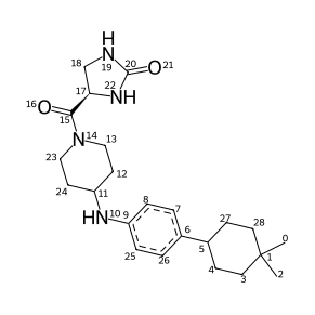 CC1(C)CCC(c2ccc(NC3CCN(C(=O)[C@H]4CNC(=O)N4)CC3)cc2)CC1